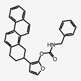 O=C(NCc1ccccc1)Oc1occc1C1CCc2ccc3c(ccc4ccccc43)c2C1